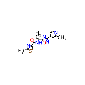 Cc1cc(-c2noc([C@H](C)NC(=O)c3csc(C(F)(F)F)n3)n2)ccn1